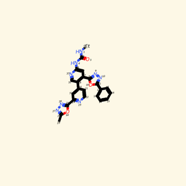 CCNC(=O)Nc1cc(-c2nnc(-c3ccccc3)o2)c(-c2ccnc(-c3nnc(C)o3)c2)cn1